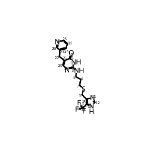 O=c1[nH]c(NCCCSCc2nc[nH]c2C(F)(F)F)ncc1Cc1cccnc1